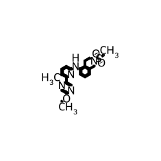 CCOc1cnc(-c2nc(Nc3cccc4c3CCN(S(=O)(=O)CC)C4)ccc2C)cn1